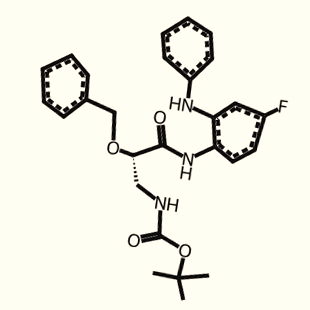 CC(C)(C)OC(=O)NC[C@H](OCc1ccccc1)C(=O)Nc1ccc(F)cc1Nc1ccccc1